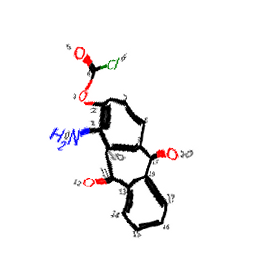 Nc1c(OC(=O)Cl)ccc2c1C(=O)c1ccccc1C2=O